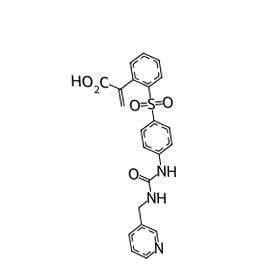 C=C(C(=O)O)c1ccccc1S(=O)(=O)c1ccc(NC(=O)NCc2cccnc2)cc1